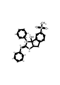 CS(=O)(=O)c1ccc2c(c1)C1(O)C(C2)SC(=Nc2ccccc2)N1c1ccccc1